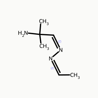 C/C=N\N=C/C(C)(C)N